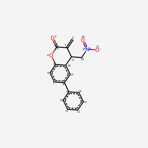 C=C1C(=O)Oc2ccc(-c3ccccc3)cc2C1C[N+](=O)[O-]